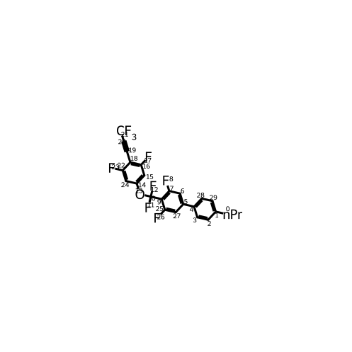 CCCc1ccc(-c2cc(F)c(C(F)(F)Oc3cc(F)c(C#CC(F)(F)F)c(F)c3)c(F)c2)cc1